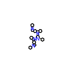 c1ccc(-c2cc(-n3c4ccccc4c4cc5c(ccn5-c5ccccc5)cc43)cc(-n3c4ccccc4c4cc5c(ccn5-c5ccccc5)cc43)n2)cc1